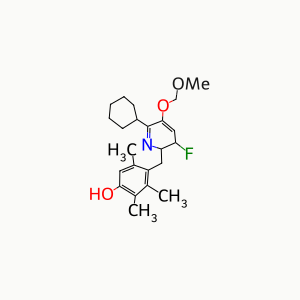 COCOC1=CC(F)C(Cc2c(C)cc(O)c(C)c2C)N=C1C1CCCCC1